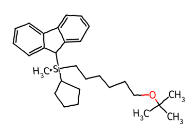 CC(C)(C)OCCCCCC[Si@](C)(C1CCCC1)C1c2ccccc2-c2ccccc21